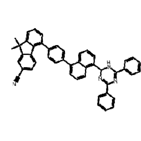 CC1(C)c2cc(C#N)ccc2-c2c(-c3ccc(-c4cccc5c(C6N=C(c7ccccc7)N=C(c7ccccc7)N6)cccc45)cc3)cccc21